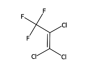 FC(F)(F)C(Cl)=C(Cl)Cl